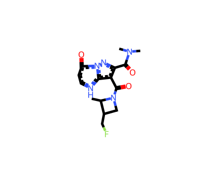 CC1C(CF)CN1C(=O)c1c(C(=O)N(C)C)nn2c(=O)cc[nH]c12